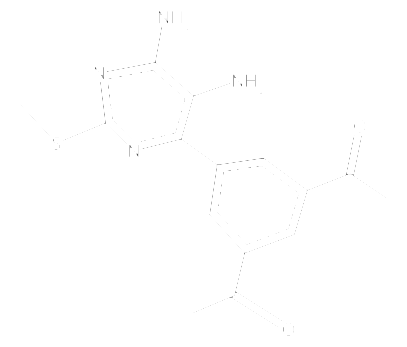 CSc1nc(N)c(N)c(-c2cc(C(C)=O)cc(C(C)=O)c2)n1